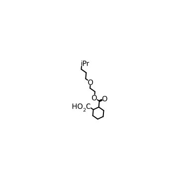 CC(C)CCCOCCOC(=O)C1CCCCC1C(=O)O